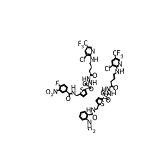 Nc1ccccc1C(=O)NCc1ccc(S(=O)(=O)NNC(=O)CCCNc2ncc(C(F)(F)F)cc2Cl)s1.O=C(CCCNc1ncc(C(F)(F)F)cc1Cl)NNS(=O)(=O)c1ccc(CNC(=O)c2ccc(F)c([N+](=O)[O-])c2)s1